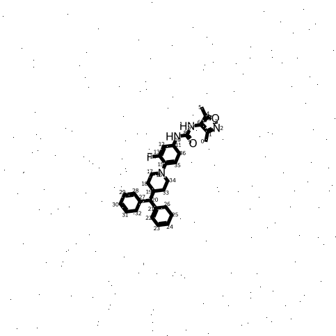 Cc1noc(C)c1NC(=O)NC1C=C(F)C(N2CCC(C(C3=CC=CCC3)C3C=CC=CC3)CC2)=CC1